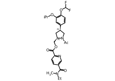 CCN(C)C(=O)c1ccc(C(=O)OC[C@H]2C[C@@H](c3ccc(OC(F)F)c(OC(C)C)c3)CN2C(C)=O)nc1